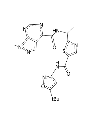 CC(NC(=O)c1ncnc2c1cnn2C)c1ncc(C(=O)Nc2cc(C(C)(C)C)on2)s1